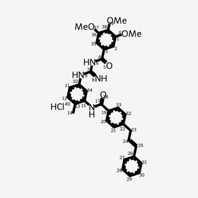 COc1cc(C(=O)NC(=N)Nc2ccc(C)c(NC(=O)c3ccc(C/C=C/c4ccccc4)cc3)c2)cc(OC)c1OC.Cl